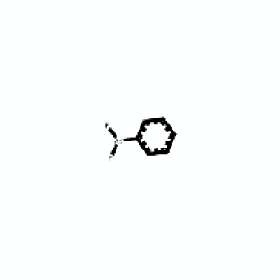 F[As](F)c1ccccc1